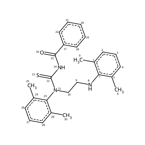 Cc1cccc(C)c1NCCN(C(=S)NC(=O)c1ccccc1)c1c(C)cccc1C